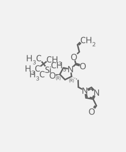 C=CCOC(=O)N1C[C@H](O[Si](C)(C)C(C)(C)C)C[C@H]1CCn1cnc(C=O)c1